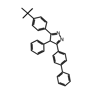 CC(C)(C)c1ccc(C2=NN=C(c3ccc(-c4ccccc4)cc3)C2c2ccccc2)cc1